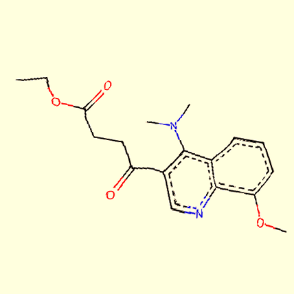 CCOC(=O)CCC(=O)c1cnc2c(OC)cccc2c1N(C)C